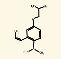 C/C=C\c1cc(OCC(C)C(C)C)ccc1N(C)N